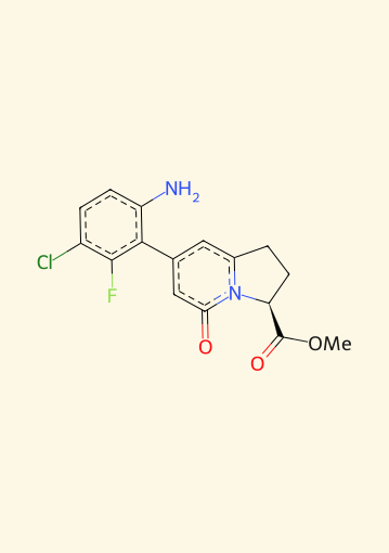 COC(=O)[C@@H]1CCc2cc(-c3c(N)ccc(Cl)c3F)cc(=O)n21